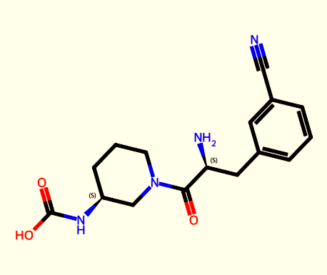 N#Cc1cccc(C[C@H](N)C(=O)N2CCC[C@H](NC(=O)O)C2)c1